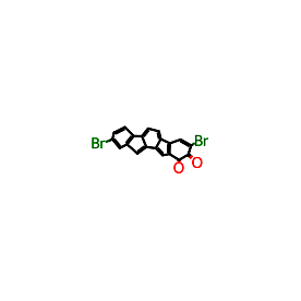 O=c1c(Br)cc2c3ccc4c5ccc(Br)cc5cc4c3cc=2c1=O